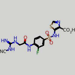 N#CNC(=N)NCC(=O)Nc1ccc(S(=O)(=O)Nc2scnc2C(=O)O)cc1F